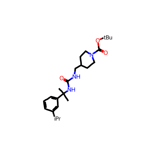 CC(C)c1cccc(C(C)(C)NC(=O)NCC2CCN(C(=O)OC(C)(C)C)CC2)c1